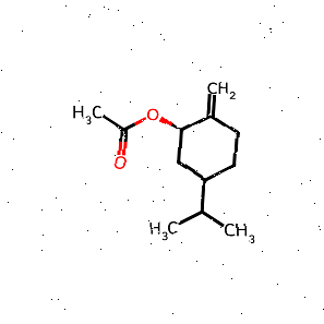 C=C1CCC(C(C)C)C[C@H]1OC(C)=O